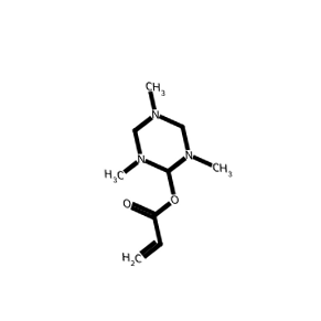 C=CC(=O)OC1N(C)CN(C)CN1C